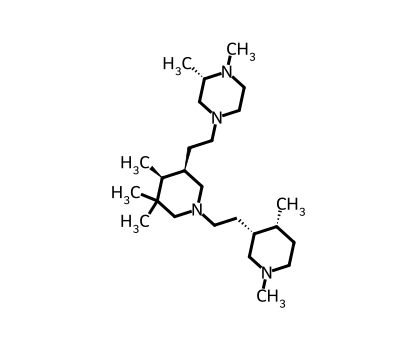 C[C@@H]1CCN(C)C[C@@H]1CCN1C[C@H](CCN2CCN(C)[C@@H](C)C2)[C@H](C)C(C)(C)C1